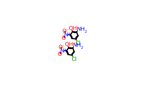 Nc1cc(Cl)cc([N+](=O)[O-])c1O.Nc1cc(Cl)cc([N+](=O)[O-])c1O